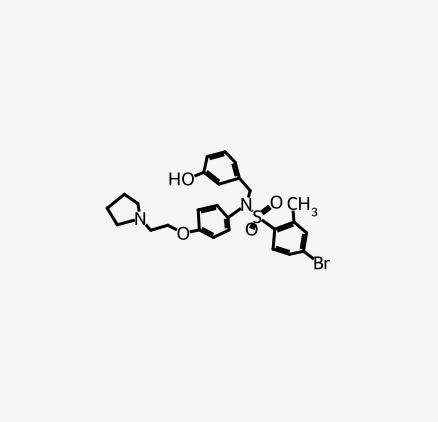 Cc1cc(Br)ccc1S(=O)(=O)N(Cc1cccc(O)c1)c1ccc(OCCN2CCCC2)cc1